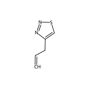 [CH]=CCc1csnn1